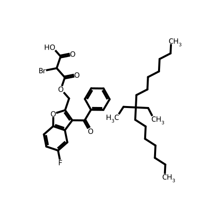 CCCCCCCC(CC)(CC)CCCCCCC.O=C(c1ccccc1)c1c(COC(=O)C(Br)C(=O)O)oc2ccc(F)cc12